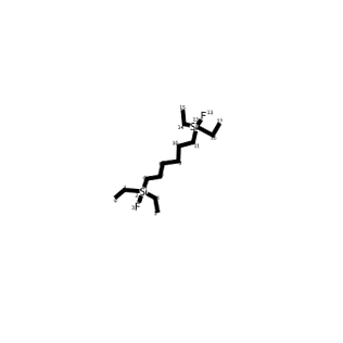 CC[Si](F)(CC)CCCCCC[Si](F)(CC)CC